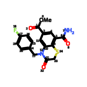 COC(=O)c1cc(C(N)=O)c2c(c1)N(Cc1ccc(F)cc1)C(=O)CS2